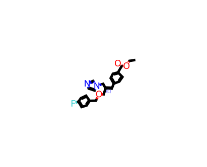 CCOC(=O)c1ccc(/C=C(/COCc2ccc(F)cc2)Cn2ccnc2)cc1